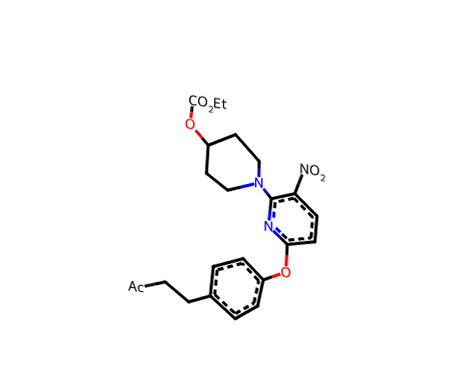 CCOC(=O)OC1CCN(c2nc(Oc3ccc(CCC(C)=O)cc3)ccc2[N+](=O)[O-])CC1